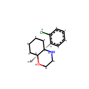 Clc1ccccc1[C@@]12CCCC[C@@H]1OCCN2